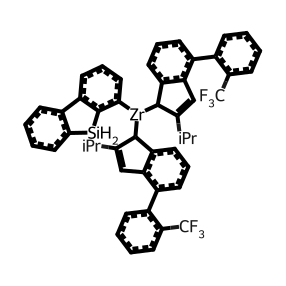 CC(C)C1=Cc2c(-c3ccccc3C(F)(F)F)cccc2[CH]1[Zr]([c]1cccc2c1[SiH2]c1ccccc1-2)[CH]1C(C(C)C)=Cc2c(-c3ccccc3C(F)(F)F)cccc21